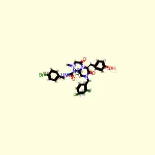 CN1CC(=O)N2[C@@H](Cc3ccc(O)cc3)C(=O)N(Cc3ccc(F)cc3F)C[C@@H]2N1C(=O)NCc1ccc(Br)cc1